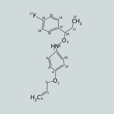 C=CCOc1ccc(NOC(CC)c2ccc(F)cc2)cc1